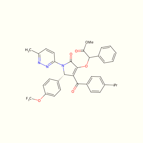 COC(=O)C(OC1=C(C(=O)c2ccc(C(C)C)cc2)[C@H](c2ccc(OC(F)(F)F)cc2)N(c2ccc(C)nn2)C1=O)c1ccccc1